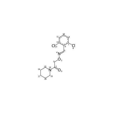 O=C(CON=Cc1c(Cl)cccc1Cl)N1CCCCC1